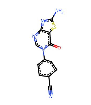 N#Cc1ccc(-n2cnc3nc(N)sc3c2=O)cc1